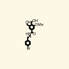 COc1cc(C(=O)N/N=C/c2ccc(Br)cc2)cc(CO)c1CO